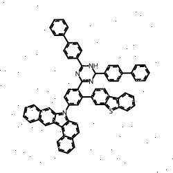 c1ccc(-c2ccc(C3=NC(c4ccc(-n5c6cc7ccccc7cc6c6c7ccccc7ccc65)cc4-c4ccc5c(c4)sc4ccccc45)=NC(c4ccc(-c5ccccc5)cc4)N3)cc2)cc1